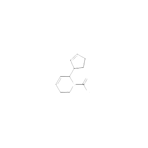 O=C(O)N1CCC=CC1C1C=CCC1